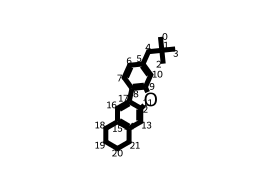 CC(C)(C)Cc1ccc2c(c1)oc1cc3c(cc12)CCCC3